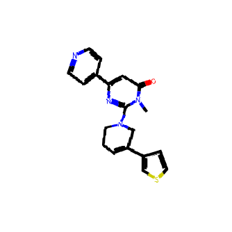 Cn1c(N2CCC=C(c3ccsc3)C2)nc(-c2ccncc2)cc1=O